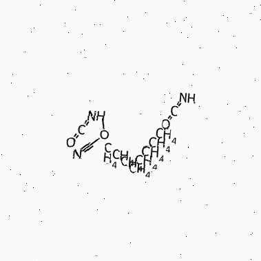 C.C.C.C.C.C.C.C.COC#N.N=C=O.N=C=O